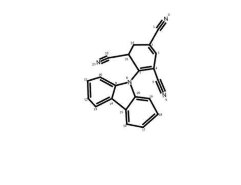 N#CC1=CC(C#N)=C(n2c3ccccc3c3ccccc32)C(C#N)C1